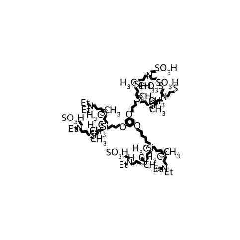 CCN(CC)CCC[Si](C)(C)CCC[Si](C)(CCCCCCOc1cc(OCCCC[Si](C)(CCC[Si](C)(C)CCCN(CC)CC)CCC[Si](C)(C)CCCN(CC)CCS(=O)(=O)O)cc(OCCCC[Si](C)(CCC[Si](C)(C)CCCN(CCC=S)CCS(=O)(=O)O)CCC[Si](C)(C)CCCN(CCS(=O)(=O)O)CCS(=O)(=O)O)c1)CCC[Si](C)(C)CCCN(CC)CCS(=O)(=O)O